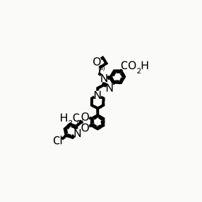 C[C@]1(c2ccc(Cl)cn2)Oc2cccc(C3CCN(Cc4nc5ccc(C(=O)O)cc5n4C[C@@H]4CCO4)CC3)c2O1